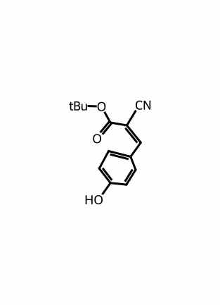 CC(C)(C)OC(=O)/C(C#N)=C\c1ccc(O)cc1